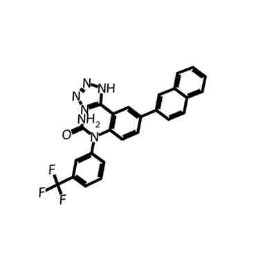 NC(=O)N(c1cccc(C(F)(F)F)c1)c1ccc(-c2ccc3ccccc3c2)cc1-c1nnn[nH]1